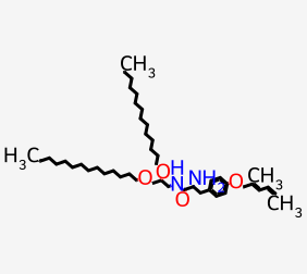 C/C=C\C=C(/C)COc1ccc(C[C@H](N)C(=O)NCC(COCCCCCCCCCCCCCC)OCCCCCCCCCCCCCC)cc1